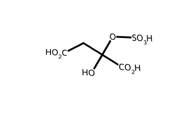 O=C(O)CC(O)(OS(=O)(=O)O)C(=O)O